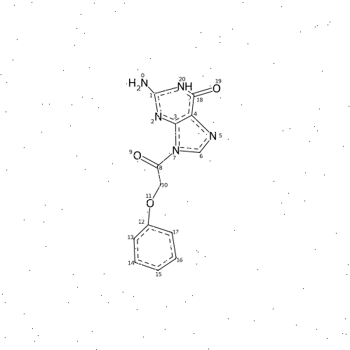 Nc1nc2c(ncn2C(=O)COc2ccccc2)c(=O)[nH]1